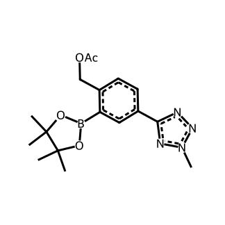 CC(=O)OCc1ccc(-c2nnn(C)n2)cc1B1OC(C)(C)C(C)(C)O1